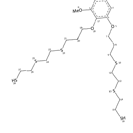 COc1cccc(OCCCSCCSCCS)c1OCCCSCCSCCS